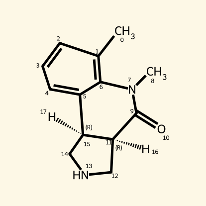 Cc1cccc2c1N(C)C(=O)[C@H]1CNC[C@@H]21